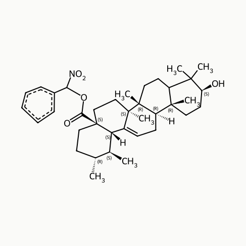 C[C@H]1[C@H](C)CC[C@]2(C(=O)OC(c3ccccc3)[N+](=O)[O-])CC[C@]3(C)C(=CC[C@@H]4[C@@]5(C)CC[C@H](O)C(C)(C)C5CC[C@]43C)[C@H]12